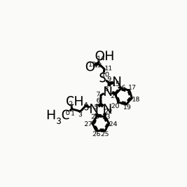 CC(C)CCn1c(Cn2c(SCC(=O)O)nc3ccccc32)nc2ccccc21